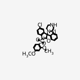 COc1ccc(S(=O)(=O)N2C(=O)C(c3ccccc3Cl)(N3CCNCC3)c3cc(Cl)ccc32)c(OC)c1